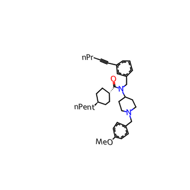 CCCC#Cc1cccc(CN(C(=O)[C@H]2CC[C@H](CCCCC)CC2)C2CCN(Cc3ccc(OC)cc3)CC2)c1